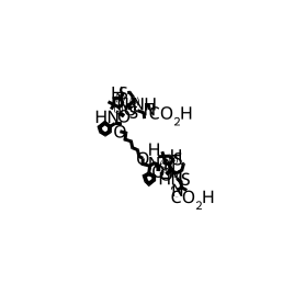 CC(C(=S)N[C@H]1CCS[C@H]2CC(C)(C)[C@@H](C(=O)NC(COCCCCCCOCC(NC(=O)[C@H]3N4C(=O)[C@@H](NC(=S)C(C)N(C)C(=O)O)CCS[C@H]4CC3(C)C)c3ccccc3)c3ccccc3)N2C1=O)N(C)C(=O)O